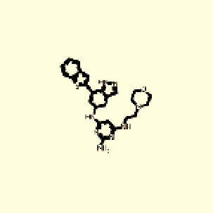 Nc1nc(NCCN2CCOCC2)cc(Nc2cc(-c3cc4ccccc4s3)c3[nH]ncc3c2)n1